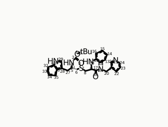 CC(C)(C)OC(=O)N[C@H](CSCC(Nc1ccccc1)C(=O)NCc1cccnc1)Cc1c[nH]c2ccccc12